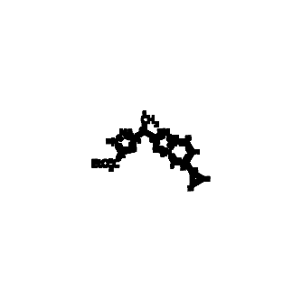 CCOC(=O)c1cn(C(C)c2cn3cc(C4CC4)ccc3n2)nn1